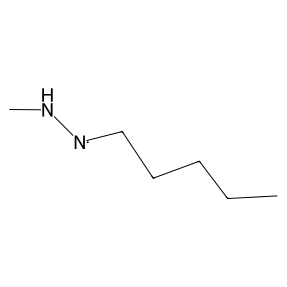 CCCCC[N]NC